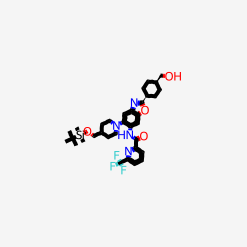 CC(C)(C)[Si](C)(C)OCC1CCN(c2cc3nc([C@H]4CC[C@H](CO)CC4)oc3cc2NC(=O)c2cccc(C(F)(F)F)n2)CC1